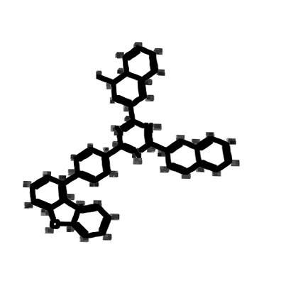 CC1C=C(c2nc(-c3ccc(-c4cccc5oc6ccccc6c45)cc3)nc(-c3ccc4ccccc4c3)n2)C=C2C=CC=CC21